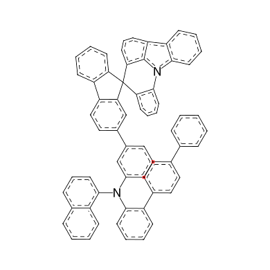 c1ccc(-c2ccc(-c3ccccc3N(c3cccc(-c4ccc5c(c4)C4(c6ccccc6-5)c5ccccc5-n5c6ccccc6c6cccc4c65)c3)c3cccc4ccccc34)cc2)cc1